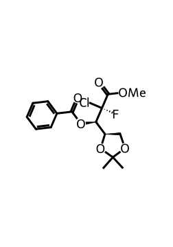 COC(=O)[C@](F)(Cl)[C@H](OC(=O)c1ccccc1)[C@H]1COC(C)(C)O1